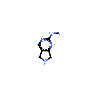 CNc1ncc2c(n1)CNC2